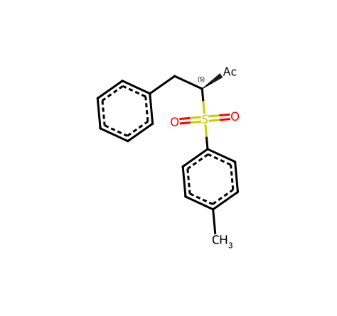 CC(=O)[C@H](Cc1ccccc1)S(=O)(=O)c1ccc(C)cc1